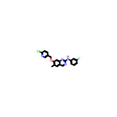 Cc1cc2cnc(Nc3cccc(F)c3)nc2cc1OCc1ccc(Cl)nc1